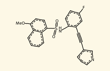 COc1ccc(S(=O)(=O)Nc2ccc(F)cc2C#Cc2cccnc2)c2ccccc12